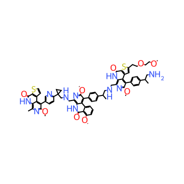 COCCOCCc1cc2c(s1)c(=O)[nH]c1c(CNCC(C)c3ccc(-c4c(OC)nc(CNCC5(c6ccc(-c7c(OC)nc(C)c8[nH]c(=O)c9sccc9c78)cn6)CC5)c5[nH]c(=O)c6c(OC)cccc6c45)cc3)nc(OC)c(-c3ccc(C(C)CN)cc3)c12